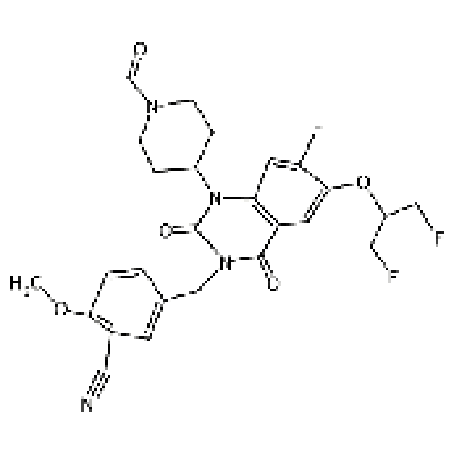 COc1ccc(Cn2c(=O)c3cc(OC(CF)CF)c(F)cc3n(C3CCN(C=O)CC3)c2=O)cc1C#N